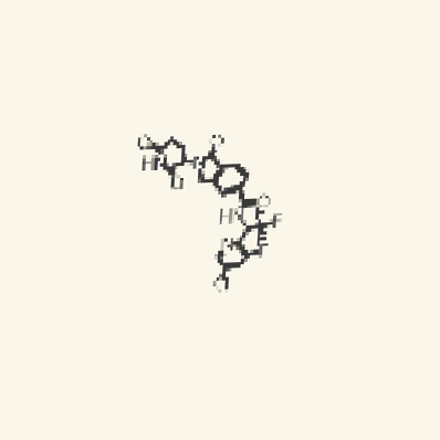 O=C1CCC(N2Cc3cc(C(=O)N[C@H](c4ncc(Cl)cc4F)C(F)(F)F)ccc3C2=O)C(=O)N1